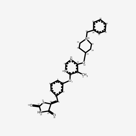 Cc1c(Oc2cccc(/C=C3\SC(=O)NC3=O)c2)ncnc1OC1CCN(Cc2ccccc2)CC1